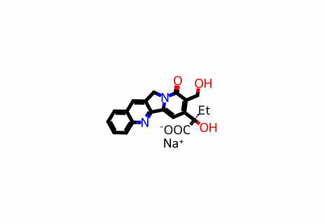 CC[C@](O)(C(=O)[O-])c1cc2n(c(=O)c1CO)Cc1cc3ccccc3nc1-2.[Na+]